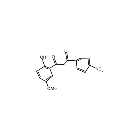 COc1ccc(O)c(C(=O)CC(=O)c2ccc([N+](=O)[O-])cc2)c1